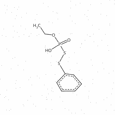 CCOP(=O)(O)SSc1ccccc1